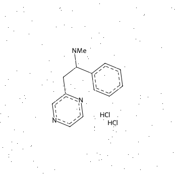 CNC(Cc1cnccn1)c1ccccc1.Cl.Cl